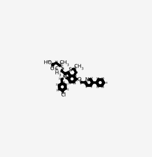 CC1Cc2c(OCc3ccc(-c4ccccc4)cn3)ccc3c2c(c(CSC(C)(C)CC(=O)O)n3Cc2ccc(Cl)cc2)S1